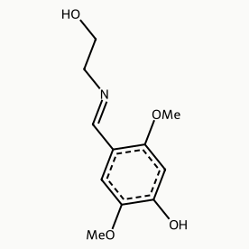 COc1cc(C=NCCO)c(OC)cc1O